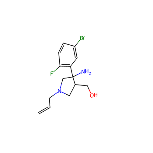 C=CCN1CC(CO)C(N)(c2cc(Br)ccc2F)C1